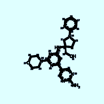 Nc1ncc(-c2cc(N[C@@]3(CO)CCN(c4ccccn4)C3)nc(N3CCOCC3)n2)cn1